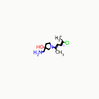 C/C(Cl)=C\C=C(/C)N1CC[C@](O)(CN)C1